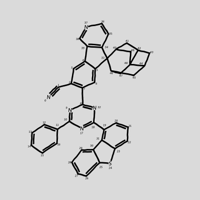 N#Cc1cc2c(cc1-c1nc(-c3ccccc3)nc(-c3cccc4sc5ccccc5c34)n1)C1(c3ccncc3-2)C2CC3CC4CC1CC34C2